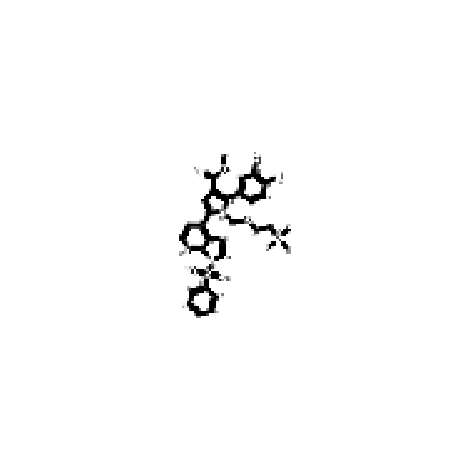 COC(=O)c1cc(-c2ccnc3c2ccn3S(=O)(=O)c2ccccc2)n(COCC[Si](C)(C)C)c1-c1ccc(Cl)c(Cl)c1